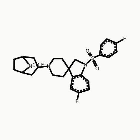 CCOC(=O)N1C2CCC1CC(N1CCC3(CC1)CN(S(=O)(=O)c1ccc(F)cc1)c1ccc(F)cc13)C2